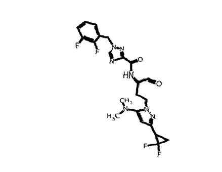 CN(C)c1cc(C2CC2(F)F)nn1CCC(C=O)NC(=O)c1ncn(Cc2cccc(F)c2F)n1